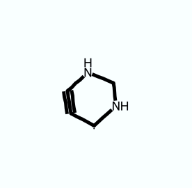 C1#CNCN[CH]1